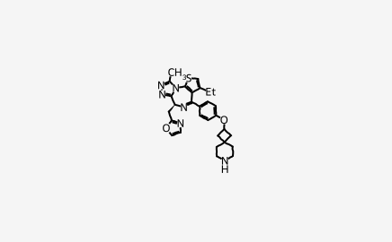 CCc1csc2c1C(c1ccc(OC3CC4(CCNCC4)C3)cc1)=N[C@@H](Cc1ncco1)c1nnc(C)n1-2